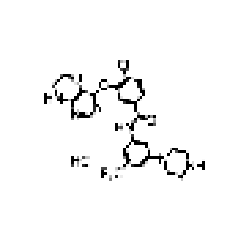 C[C@@H]1CN(c2cc(NC(=O)c3ccc(Cl)c(Oc4ncnc5c4OCCN5)c3)cc(C(F)(F)F)c2)CCN1.Cl